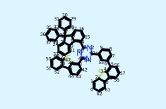 C1=CC2Sc3c(-c4cccc(-c5nc(-c6cccc7c6-c6ccccc6C7(c6ccccc6)c6ccccc6)nc(-c6cccc7c6sc6ccccc67)n5)c4)cccc3C2C=C1